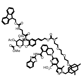 COC(=O)[C@H]1O[C@@H](Oc2ccc(/C=C/COC(=O)N(C)CCOCCOCCOC34CC5(C)CC(C)(CC(Cn6ncc(-c7ccc(N8CCc9cccc(C(=O)Nc%10nc%11ccccc%11s%10)c9C8)nc7C(=O)O)c6C)(C5)C3)C4)cc2NC(=O)CCNC(=O)OCC2c3ccccc3-c3ccccc32)[C@H](OC(C)=O)[C@@H](OC(C)=O)[C@@H]1OC(C)=O